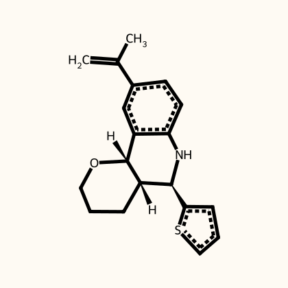 C=C(C)c1ccc2c(c1)[C@H]1OCCC[C@H]1[C@H](c1cccs1)N2